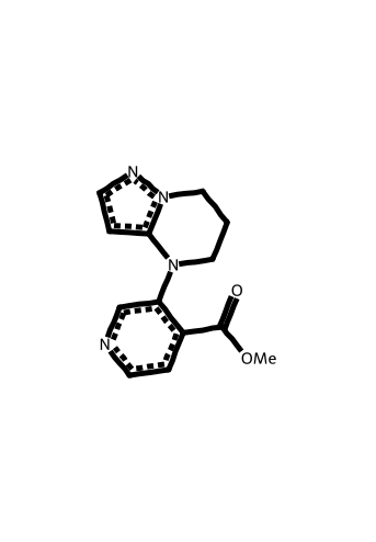 COC(=O)c1ccncc1N1CCCn2nccc21